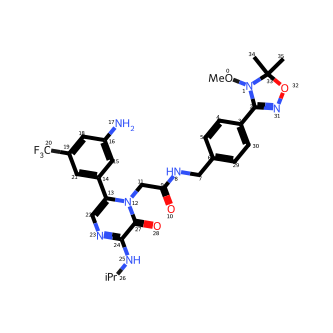 CON1C(c2ccc(CNC(=O)Cn3c(-c4cc(N)cc(C(F)(F)F)c4)cnc(NC(C)C)c3=O)cc2)=NOC1(C)C